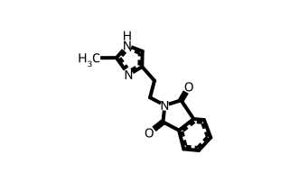 Cc1nc(CCN2C(=O)c3ccccc3C2=O)c[nH]1